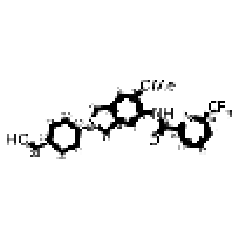 COc1cc2c(cc1NC(=O)c1cccc(C(F)(F)F)n1)CN([C@H]1CC[C@H](CO)CC1)C2